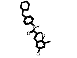 Cc1cc(Cl)cc2c1OCC(C(=O)Nc1ccc(C[C]3CCCCC3)cc1)=C2